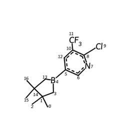 CC1(C)CB(c2cnc(Cl)c(C(F)(F)F)c2)CC1(C)C